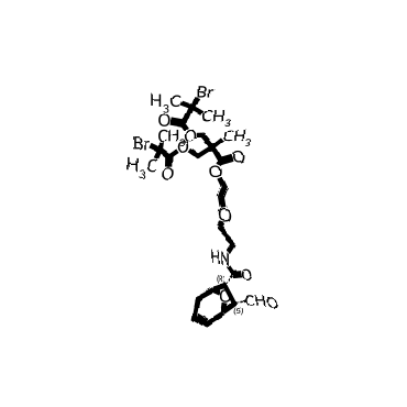 CC(C)(Br)C(=O)OCC(C)(COC(=O)C(C)(C)Br)C(=O)OCCOCCNC(=O)[C@H]1C2CC=CC(O2)[C@H]1C=O